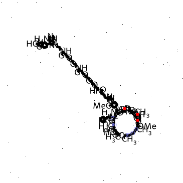 CO[C@H]1C[C@@H]2CC[C@@H](C)[C@@](O)(O2)C(=O)C(=O)N2CCCC[C@H]2C(=O)O[C@H]([C@H](N)C[C@@H]2CC[C@H](n3cc(CCCC(=O)NCCOCCOCCOCCC(=O)NCCOCCOCCC(=O)NCCCCn4nc(-c5ccc6oc(O)nc6c5)c5c(N)ncnc54)nn3)[C@H](OC)C2)C/C(=N/OCc2ccccc2)[C@H](C)/C=C(\C)[C@@H](O)[C@@H](O)C(=O)[C@H](C)C[C@H](C)/C=C/C=C/C=C/1C